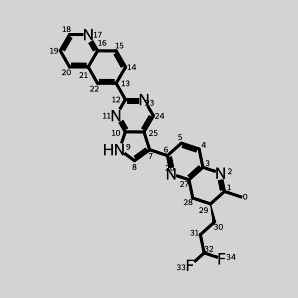 CC1=Nc2ccc(-c3c[nH]c4nc(-c5ccc6ncccc6c5)ncc34)nc2C[C@@H]1CCC(F)F